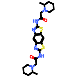 CC1CCCCN1CC(=O)Nc1nc2cc3nc(NC(=O)CN4CCCCC4C)sc3cc2s1